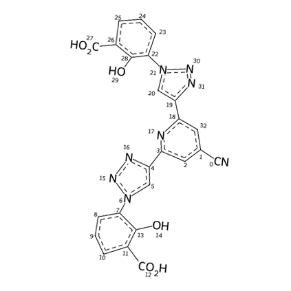 N#Cc1cc(-c2cn(-c3cccc(C(=O)O)c3O)nn2)nc(-c2cn(-c3cccc(C(=O)O)c3O)nn2)c1